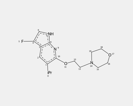 CC(C)c1cc2c(F)c[nH]c2nc1OCCN1CCOCC1